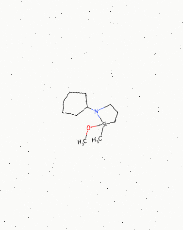 CO[Si]1(C)CCCN1C1CCCCC1